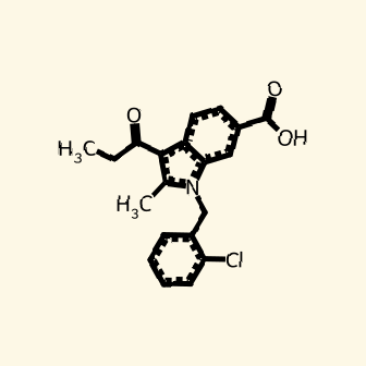 CCC(=O)c1c(C)n(Cc2ccccc2Cl)c2cc(C(=O)O)ccc12